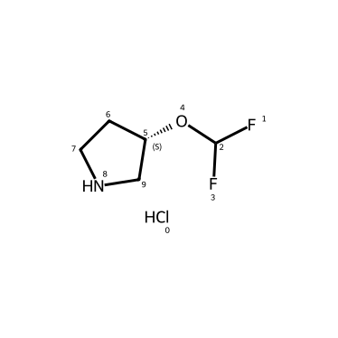 Cl.FC(F)O[C@H]1CCNC1